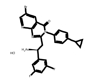 Cl.O=c1c2cc(Br)cnc2nc(C[C@H]([AsH2])c2cc(F)cc(F)c2)n1-c1ccc(C2CC2)cc1